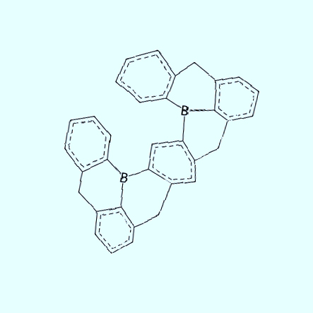 c1ccc2c(c1)Cc1cccc3c1B2c1cc2c(cc1C3)Cc1cccc3c1B2c1ccccc1C3